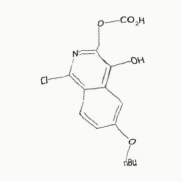 CCCCOc1ccc2c(Cl)nc(OC(=O)O)c(O)c2c1